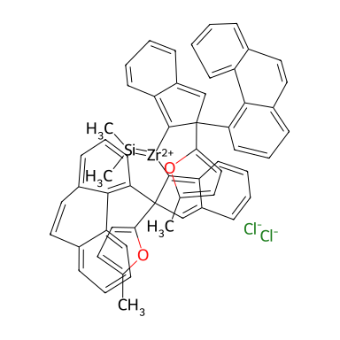 Cc1ccc(C2(c3cccc4ccc5ccccc5c34)C=c3ccccc3=[C]2[Zr+2]([C]2=c3ccccc3=CC2(c2ccc(C)o2)c2cccc3ccc4ccccc4c23)=[Si](C)C)o1.[Cl-].[Cl-]